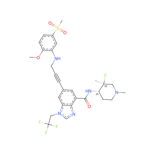 COc1ccc(S(C)(=O)=O)cc1NCC#Cc1cc(C(=O)N[C@H]2CCN(C)C[C@]2(C)F)c2ncn(CC(F)(F)F)c2c1